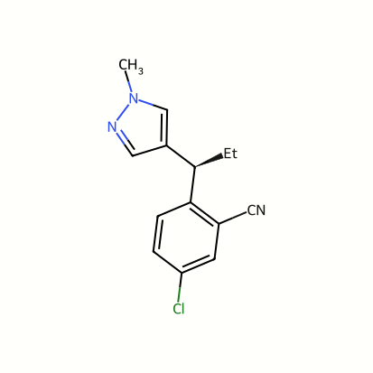 CC[C@H](c1cnn(C)c1)c1ccc(Cl)cc1C#N